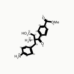 COC(=O)c1ccc(C(=O)[C@](N)(CC(=O)O)Cc2ccc(N)cc2)cc1